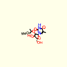 COCC(C)OC1C(O)[C@@H](CO)O[C@H]1n1cc(C)c(=O)[nH]c1=O